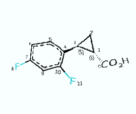 O=C(O)[C@H]1C[C@@H]1c1ccc(F)cc1F